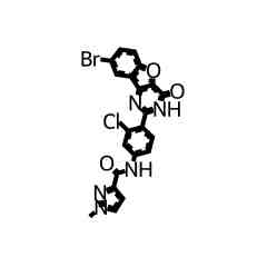 Cn1ccc(C(=O)Nc2ccc(-c3nc4c(oc5ccc(Br)cc54)c(=O)[nH]3)c(Cl)c2)n1